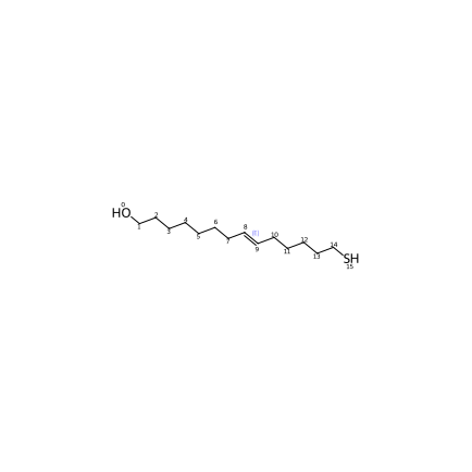 OCCCCCCC/C=C/CCCCCS